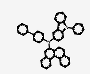 c1ccc(-c2ccc(N(c3ccc4c(c3)c3ccccc3n4-c3ccccc3)c3cc4ccccc4c4c3ccc3ccccc34)cc2)cc1